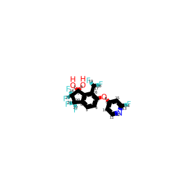 OC1(O)c2c(ccc(Oc3ccnc(F)c3)c2C(F)F)C(F)(F)C1(F)F